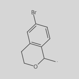 [CH2]C1OCCc2cc(Br)ccc21